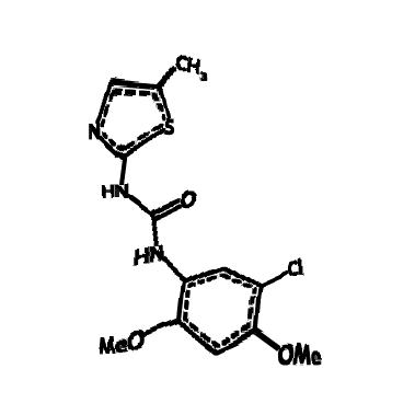 COc1cc(OC)c(NC(=O)Nc2ncc(C)s2)cc1Cl